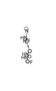 O=C(Nc1cccc(F)c1)Nc1cccc(C#Cc2cnc(NCCCN3CCCCC3)nc2)c1